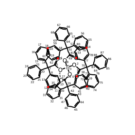 O=C([O][Ti]([O]C(=O)C(c1ccccc1)(c1ccccc1)c1ccccc1)([O]C(=O)C(c1ccccc1)(c1ccccc1)c1ccccc1)[O]C(=O)C(c1ccccc1)(c1ccccc1)c1ccccc1)C(c1ccccc1)(c1ccccc1)c1ccccc1